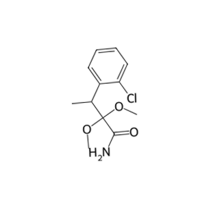 COC(OC)(C(N)=O)C(C)c1ccccc1Cl